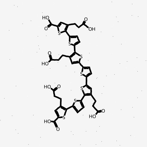 O=C(O)CCc1cc(C(=O)O)sc1-c1ccc(-c2sc(-c3ccc(-c4cc(CCC(=O)O)c(-c5ccc(-c6sc(C(=O)O)cc6CCC(=O)O)s5)s4)s3)cc2CCC(=O)O)s1